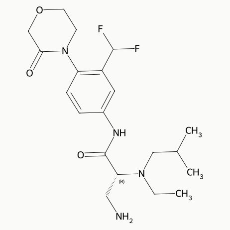 CCN(CC(C)C)[C@H](CN)C(=O)Nc1ccc(N2CCOCC2=O)c(C(F)F)c1